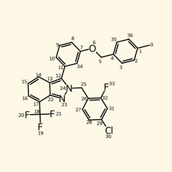 Cc1ccc(COc2cccc(-c3c4cccc(C(F)(F)F)c4nn3Cc3ccc(Cl)cc3F)c2)cc1